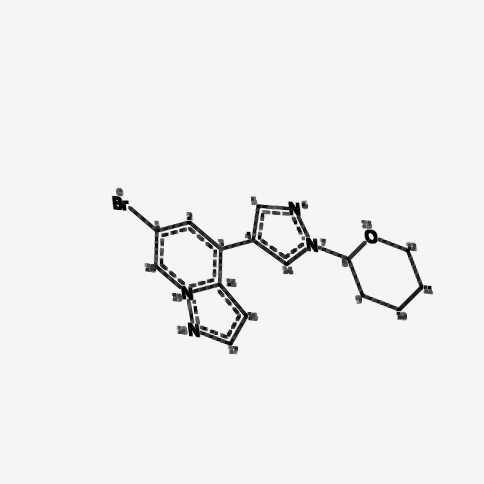 Brc1cc(-c2cnn(C3CCCCO3)c2)c2ccnn2c1